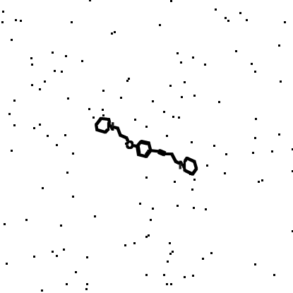 C(#Cc1ccc(OCCCN2CCCCC2)cc1)CCN1CCCCC1